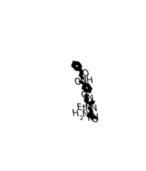 CCn1c(-c2nonc2N)nc2cnc(Oc3cccc(C(=O)NCC(=O)c4ccccc4)c3)cc21